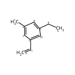 C=[C]c1cc(C)cc(CC)c1